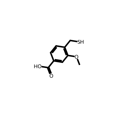 COc1cc(C(=O)O)ccc1CS